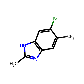 Cc1nc2cc(C(F)(F)F)c(Br)cc2[nH]1